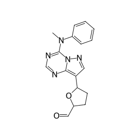 CN(c1ccccc1)c1ncnc2c(C3CCC(C=O)O3)cnn12